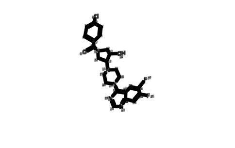 O=C(c1ccc(Cl)cc1)N1CC(O)C(N2CCN(c3ncnc4cc(F)c(F)cc34)CC2)C1